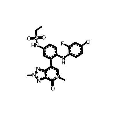 CCS(=O)(=O)Nc1ccc(Nc2ccc(Cl)cc2F)c(-c2cn(C)c(=O)c3nn(C)nc23)c1